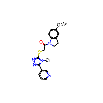 CCn1c(SCC(=O)N2CCc3cc(OC)ccc32)nnc1-c1cccnc1